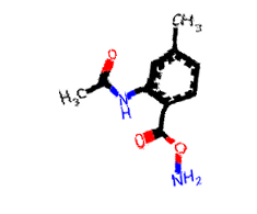 CC(=O)Nc1cc(C)ccc1C(=O)ON